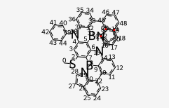 CSc1cc2c(c3c1B1c4c(cccc4N3c3ccccc3)-c3cccc4ccn1c34)B1c3c(cccc3N2c2ccccc2)-c2cccc3ccn1c23